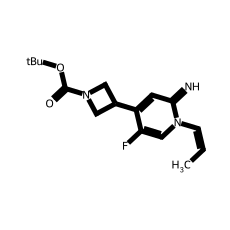 C/C=C\n1cc(F)c(C2CN(C(=O)OC(C)(C)C)C2)cc1=N